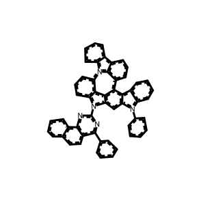 c1ccc(-c2nc(-n3c4cc5c(c6ccccc6n5-c5ccccc5)c5c6cccc7c8ccccc8n(c8cccc3c8c54)c76)nc3c2ccc2ccccc23)cc1